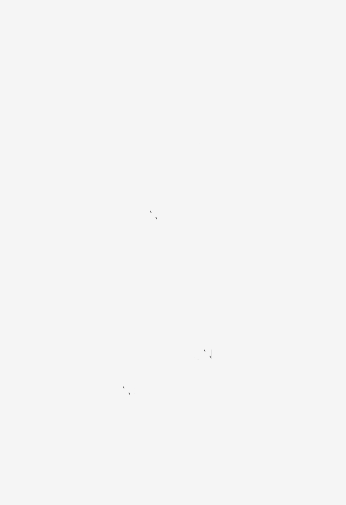 N#CC(C#N)=CC=C1CCC=CN1Cc1ccccc1